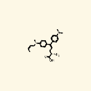 C/C=C\CN(C)c1ccc(/C(=C\C[C@H](N)C(=O)O)c2ccc(N(C)C)cc2)cc1